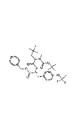 CN(C(=O)OC(C)(C)C)C(CC(C)(C)F)C(=O)O[C@H](Cc1ccc(OC(F)(F)F)cc1)C(=O)OCc1ccccc1